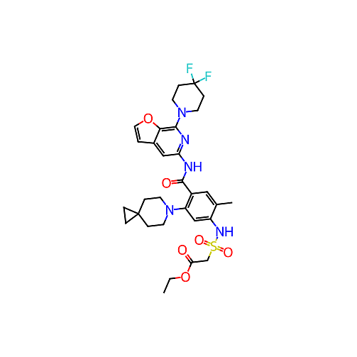 CCOC(=O)CS(=O)(=O)Nc1cc(N2CCC3(CC2)CC3)c(C(=O)Nc2cc3ccoc3c(N3CCC(F)(F)CC3)n2)cc1C